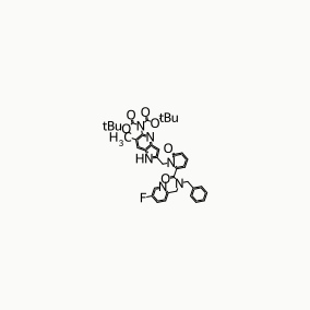 Cc1cc2[nH]c(Cn3c(C(=O)N(Cc4ccccc4)Cc4ccc(F)cn4)cccc3=O)cc2nc1N(C(=O)OC(C)(C)C)C(=O)OC(C)(C)C